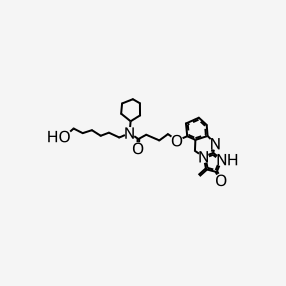 C=c1c(=O)[nH]c2n1Cc1c(cccc1OCCCC(=O)N(CCCCCCO)C1CCCCC1)N=2